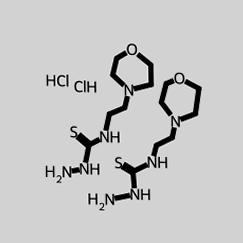 Cl.Cl.NNC(=S)NCCN1CCOCC1.NNC(=S)NCCN1CCOCC1